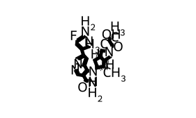 C[C@H]1[C@@H]2CN(C(=O)C(C)(C)O)C[C@H]2C[C@H]1Nc1c(C(N)=O)cnn2cc(-c3cnc(N)c(F)c3)cc12